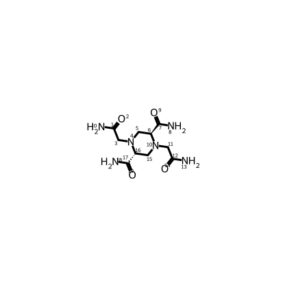 NC(=O)CN1C[C@@H](C(N)=O)N(CC(N)=O)C[C@@H]1C(N)=O